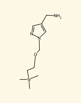 C[Si](C)(C)CCOCn1cc(CN)cn1